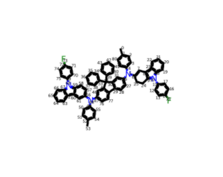 Cc1ccc(N(C2=Cc3c(n(-c4ccc(F)cc4)c4ccccc34)CC2)c2ccc3c(c2)C(c2ccccc2)(c2ccccc2)c2cc(N(c4ccc(C)cc4)c4ccc5c(c4)c4ccccc4n5-c4ccc(F)cc4)ccc2-3)cc1